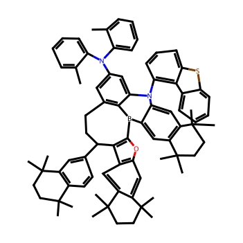 Cc1ccccc1N(c1cc2c3c(c1)N(c1cccc4sc5ccccc5c14)c1cc4c(cc1B3c1oc3cc5c(cc3c1C(c1ccc3c(c1)C(C)(C)CCC3(C)C)CC2)C(C)(C)CCC5(C)C)C(C)(C)CCC4(C)C)c1ccccc1C